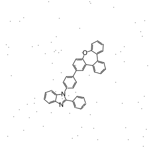 c1ccc(-c2nc3ccccc3n2-c2ccc(-c3ccc4c(c3)-c3ccccc3-c3ccccc3O4)cc2)cc1